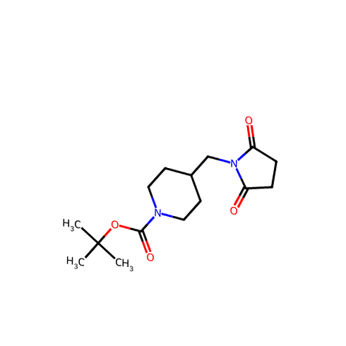 CC(C)(C)OC(=O)N1CCC(CN2C(=O)CCC2=O)CC1